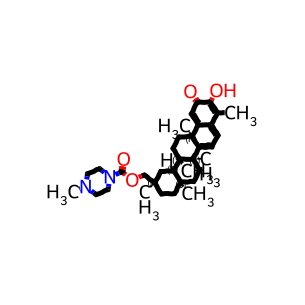 CC1=C(O)C(=O)C=C2C1=CC=C1[C@@]2(C)CC[C@@]2(C)[C@@H]3C[C@](C)(COC(=O)N4CCN(C)CC4)CC[C@]3(C)CC[C@]12C